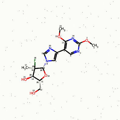 COc1ncc(-c2cn([C@@H]3O[C@H](CO)[C@@H](O)[C@@]3(C)F)cn2)c(OC)n1